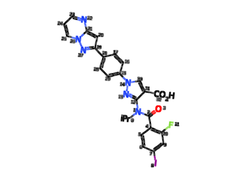 CC(C)N(C(=O)c1ccc(I)cc1F)c1nn(-c2ccc(-c3cc4ncccn4n3)cc2)cc1C(=O)O